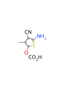 Cc1c(OC(=O)O)sc(N)c1C#N